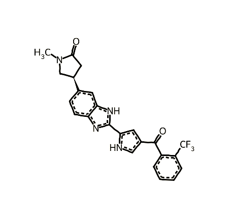 CN1C[C@H](c2ccc3nc(-c4cc(C(=O)c5ccccc5C(F)(F)F)c[nH]4)[nH]c3c2)CC1=O